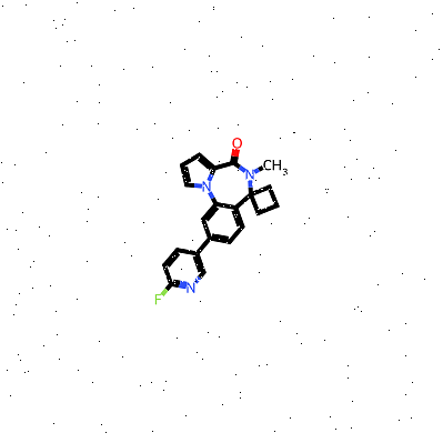 CN1C(=O)c2cccn2-c2cc(-c3ccc(F)nc3)ccc2C12CCC2